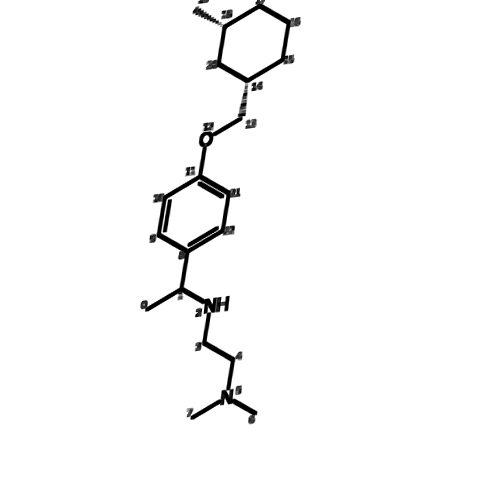 CC(NCCN(C)C)c1ccc(OC[C@H]2CCC[C@@H](C)C2)cc1